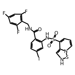 O=C(NCc1c(F)cc(F)cc1F)c1ccc(I)cc1NS(=O)(=O)C1=CC=CN2SNC=C12